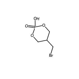 O=P1(O)OCC(CBr)CO1